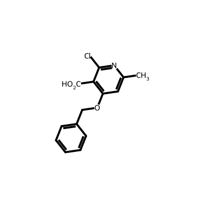 Cc1cc(OCc2ccccc2)c(C(=O)O)c(Cl)n1